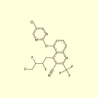 N#Cc1c(C(F)(F)F)nc2cccc(Oc3ncc(Cl)cn3)c2c1CC(F)C(F)CF